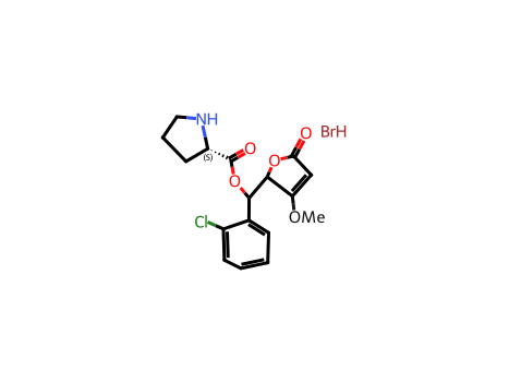 Br.COC1=CC(=O)OC1C(OC(=O)[C@@H]1CCCN1)c1ccccc1Cl